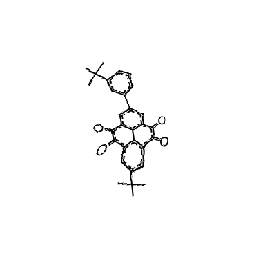 CC(C)(C)c1cccc(-c2cc3c4c(c2)c(=O)c(=O)c2cc(C(C)(C)C)cc(c2-4)c(=O)c3=O)c1